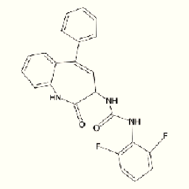 O=C(Nc1c(F)cccc1F)NC1C=C(c2ccccc2)c2ccccc2NC1=O